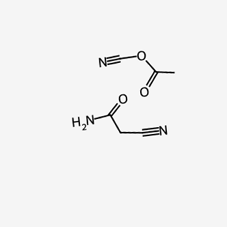 CC(=O)OC#N.N#CCC(N)=O